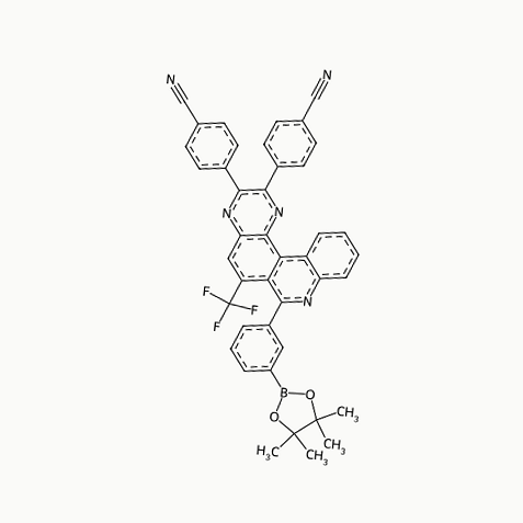 CC1(C)OB(c2cccc(-c3nc4ccccc4c4c3c(C(F)(F)F)cc3nc(-c5ccc(C#N)cc5)c(-c5ccc(C#N)cc5)nc34)c2)OC1(C)C